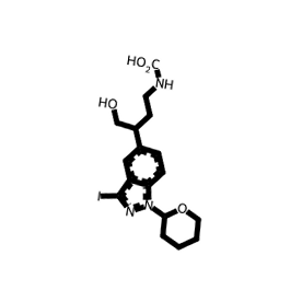 O=C(O)NCCC(CO)c1ccc2c(c1)c(I)nn2C1CCCCO1